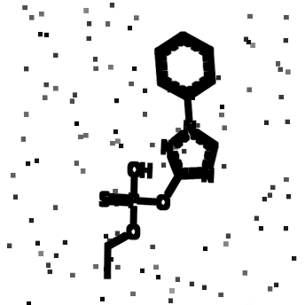 CCOP(O)(=S)Oc1ncn(-c2ccccc2)n1